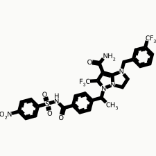 CC(c1ccc(C(=O)NS(=O)(=O)c2ccc([N+](=O)[O-])cc2)cc1)N1C(C(F)(F)F)C(C(N)=O)=C2N(Cc3cccc(C(F)(F)F)c3)CCN21